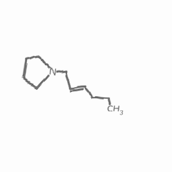 CCCC=CCN1CCCC1